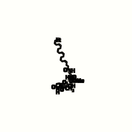 CC/C=C\C/C=C\C/C=C\C/C=C\C/C=C\C/C=C\CCC(=O)NCCNP(=O)(OC)OC[C@H]1OC(n2ccc(=O)[nH]c2=O)[C@](C)(F)[C@@H]1O